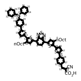 CCCCCCCCc1cc(-c2ccc(-c3cc(CCCCCCCC)c(-c4ccc(-c5ccc(N(c6ccccc6)c6ccccc6)cc5)s4)s3)c3nsnc23)sc1-c1ccc(-c2ccc(/C=C(\C#N)C(=O)O)cc2)s1